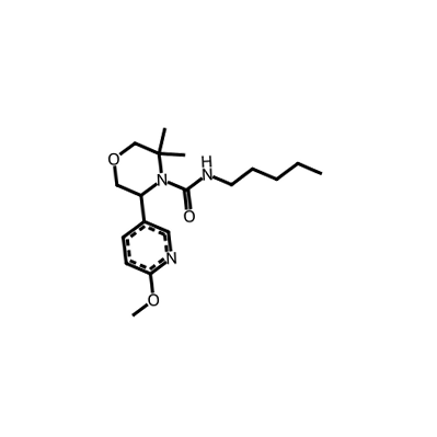 CCCCCNC(=O)N1C(c2ccc(OC)nc2)COCC1(C)C